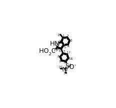 Cc1cccc2c(-c3ccc([S+]([O-])N(C)C)cc3)c(C(=O)O)[nH]c12